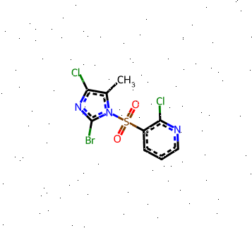 Cc1c(Cl)nc(Br)n1S(=O)(=O)c1cccnc1Cl